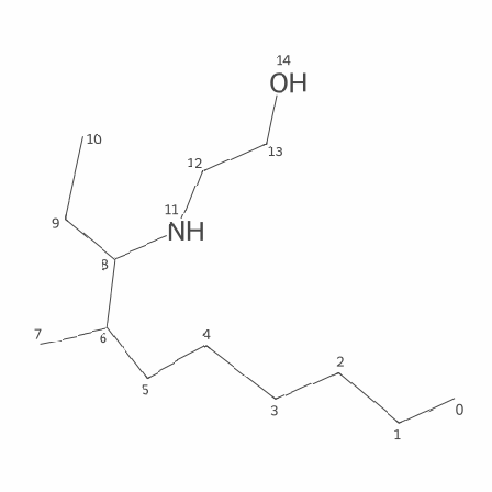 CCCCCCC(C)C(CC)NCCO